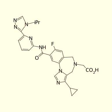 CC(C)n1cnnc1-c1cccc(NC(=O)c2cc3c(cc2F)CN(CC(=O)O)Cc2c(C4CC4)ncn2-3)n1